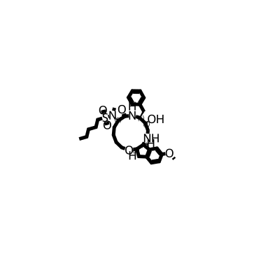 CCCCCS(=O)(=O)N(C)[C@H]1CCCCO[C@H]2Cc3ccc(OC)cc3[C@@H]2NC[C@@H](O)[C@H](Cc2ccccc2)NC1=O